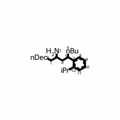 CCCCCCCCCCCC(N)CC(CCCC)c1ccccc1C(C)C